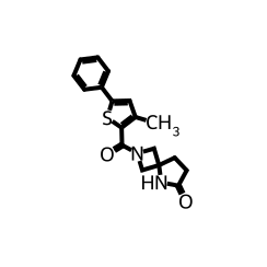 Cc1cc(-c2ccccc2)sc1C(=O)N1CC2(CCC(=O)N2)C1